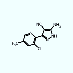 N#Cc1c(-c2ncc(C(F)(F)F)cc2Cl)n[nH]c1N